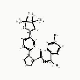 C[C@@H](NC(=O)[C@H]1CCCN1c1ncc(B2OC(C)(C)C(C)(C)O2)cn1)c1ccc(F)cc1